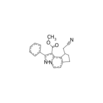 COC(=O)c1c(-c2ccccc2)nn2ccc3c(c12)C(CC#N)CC3